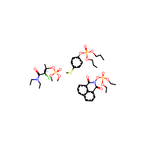 CCCOP(=O)(OCCC)Oc1ccc(SC)cc1.CCN(CC)C(=O)/C(Cl)=C(\C)OP(=O)(OC)OC.CCOP(=O)(OCC)ON1C(=O)c2cccc3cccc(c23)C1=O